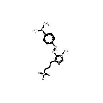 CN(C)c1ccc(/N=N/c2n(C)cn[n+]2CCCS(=O)(=O)[O-])cc1